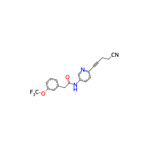 N#CCCC#Cc1ccc(NC(=O)Cc2cccc(OC(F)(F)F)c2)cn1